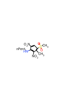 CCCCCNc1c([N+](=O)[O-])cc(S(C)(=O)=O)c(C)c1[N+](=O)[O-]